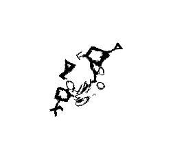 CC(C)(C)c1ccc(OCC2CC2)c([S+]([O-])NC(=O)c2cc3c(F)cc(C4CC4)cc3o2)c1